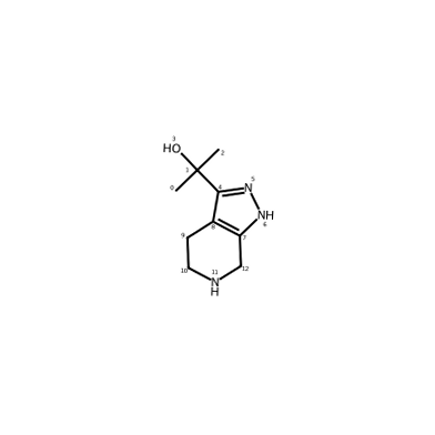 CC(C)(O)c1n[nH]c2c1CCNC2